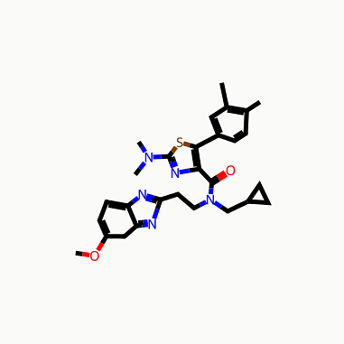 COC1=CC=C2N=C(CCN(CC3CC3)C(=O)c3nc(N(C)C)sc3-c3ccc(C)c(C)c3)N=C2C1